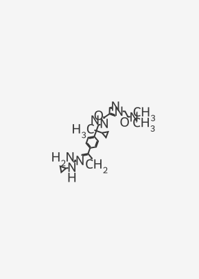 C=C/C(=C\N=C(/N)NC1CC1)c1ccc(C(C)(c2noc(-c3cnn(CC(=O)N(C)C)c3)n2)C2CC2)cc1